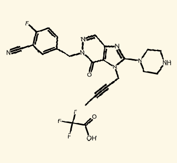 CC#CCn1c(N2CCNCC2)nc2cnn(Cc3ccc(F)c(C#N)c3)c(=O)c21.O=C(O)C(F)(F)F